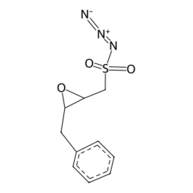 [N-]=[N+]=NS(=O)(=O)CC1OC1Cc1ccccc1